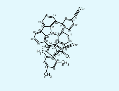 Cc1cc(C)c(N2C(=O)c3cccc(-n4c5c(-c6cccc(C#N)c6)cccc5c5cccc(-c6cccc(C#N)c6)c54)c3C2=O)c(C)c1